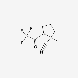 CC1(C#N)CCCN1C(=O)C(F)(F)F